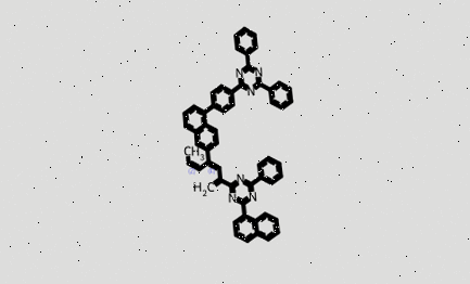 C=C(/C=C(\C=C/C)c1ccc2c(-c3ccc(-c4nc(-c5ccccc5)nc(-c5ccccc5)n4)cc3)cccc2c1)c1nc(-c2ccccc2)nc(-c2cccc3ccccc23)n1